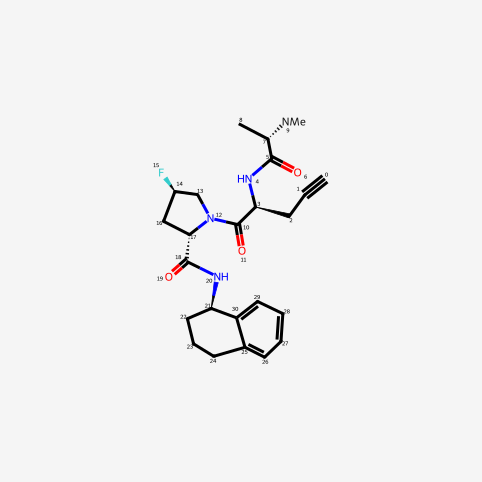 C#CC[C@H](NC(=O)[C@H](C)NC)C(=O)N1C[C@H](F)C[C@H]1C(=O)N[C@@H]1CCCc2ccccc21